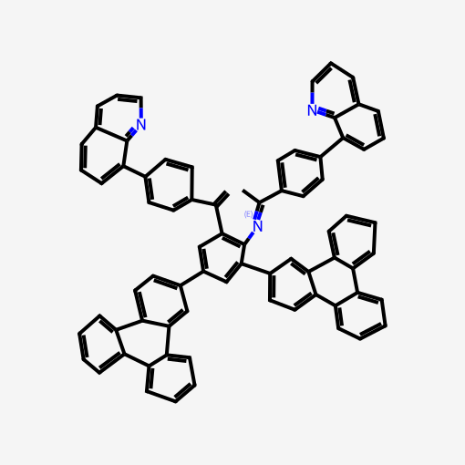 C=C(c1ccc(-c2cccc3cccnc23)cc1)c1cc(-c2ccc3c4ccccc4c4ccccc4c3c2)cc(-c2ccc3c4ccccc4c4ccccc4c3c2)c1/N=C(\C)c1ccc(-c2cccc3cccnc23)cc1